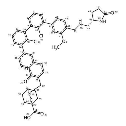 COc1nc(-c2cccc(-c3cccc(-c4ccn5c(=O)c(CN6CC7(C(=O)O)CCC6CC7)cnc5c4)c3Cl)c2Cl)ccc1CNC[C@@H]1CCC(=O)N1